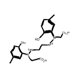 Cc1ccc(O)c(N(CC(=O)O)NCCNN(CC(=O)O)c2cc(C)ccc2O)c1